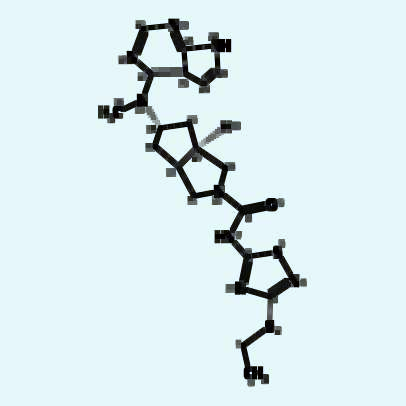 CCSc1nsc(NC(=O)N2CC3C[C@H](N(C)c4ncnc5[nH]ccc45)C[C@H]3C2)n1